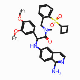 CCOc1cc(C(Nc2ccc3c(N)nccc3c2)C(=O)N(C)Cc2ccccc2S(=O)(=O)C2CCC2)ccc1OC(C)C